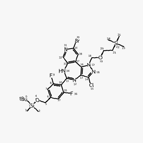 CC(C)(C)[Si](C)(C)OCc1cc(F)c(C2=Nc3c(Cl)nn(COCC[Si](C)(C)C)c3-c3cc(Br)ncc3N2)c(F)c1